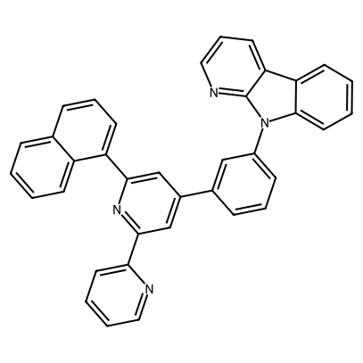 c1ccc(-c2cc(-c3cccc(-n4c5ccccc5c5cccnc54)c3)cc(-c3cccc4ccccc34)n2)nc1